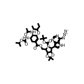 CCC(CC)O[C@@H]1C=C(C(=O)OCC2C3OC(C)(C)OC3C(c3c[nH]c4c(N=[N+]=[N-])ncnc34)N2C(=O)OC(C)(C)C)C[C@H](NC(=O)OC(C)C)[C@H]1NC(C)=O